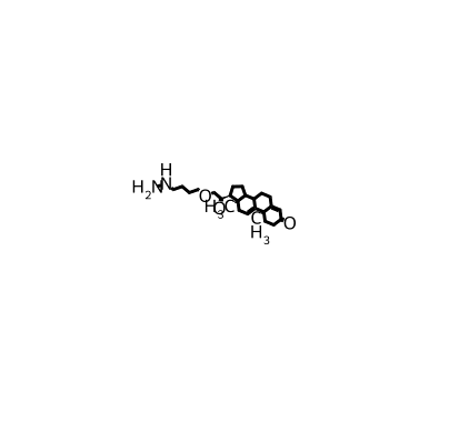 C[C@]12CCC(=O)C=C1CCC1C2=CC[C@@]2(C)C1CC[C@@H]2C(=O)COCCCCNN